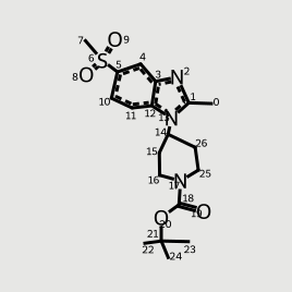 Cc1nc2cc(S(C)(=O)=O)ccc2n1C1CCN(C(=O)OC(C)(C)C)CC1